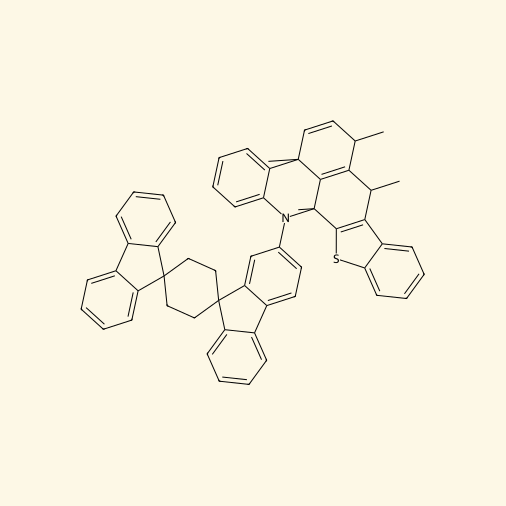 CC1C=CC2(C)C3=C1C(C)c1c(sc4ccccc14)C3(C)N(c1ccc3c(c1)C1(CCC4(CC1)c1ccccc1-c1ccccc14)c1ccccc1-3)c1ccccc12